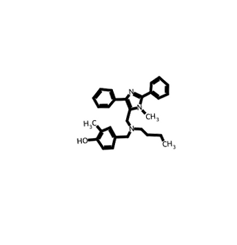 CCCCN(Cc1ccc(O)c(C)c1)Cc1c(-c2ccccc2)nc(-c2ccccc2)n1C